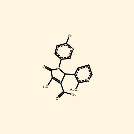 COc1ncccc1C1C(C(=O)C(C)(C)C)=C(O)C(=O)N1c1ccc(Br)nc1